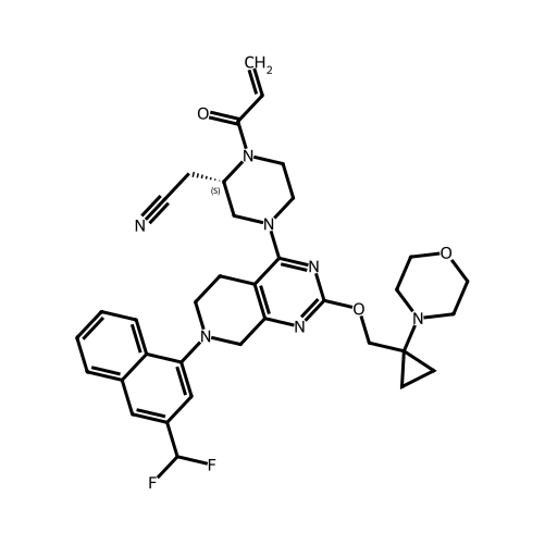 C=CC(=O)N1CCN(c2nc(OCC3(N4CCOCC4)CC3)nc3c2CCN(c2cc(C(F)F)cc4ccccc24)C3)C[C@@H]1CC#N